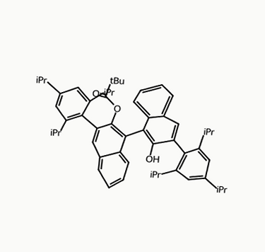 CC(C)c1cc(C(C)C)c(-c2cc3ccccc3c(-c3c(OC(=O)C(C)(C)C)c(-c4c(C(C)C)cc(C(C)C)cc4C(C)C)cc4ccccc34)c2O)c(C(C)C)c1